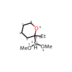 CCC1([SiH](OC)OC)CCCCO1